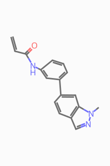 C=CC(=O)Nc1cccc(-c2ccc3cnn(C)c3c2)c1